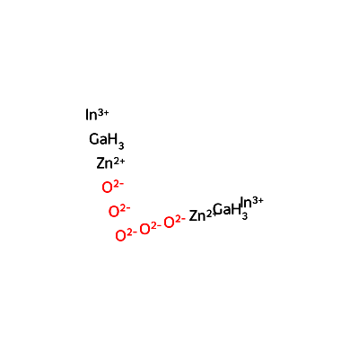 [GaH3].[GaH3].[In+3].[In+3].[O-2].[O-2].[O-2].[O-2].[O-2].[Zn+2].[Zn+2]